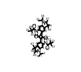 CC(C)N1c2cc(NC(=O)C(C)(C)C)c(C3=C([O-])/C(=c4\cc5c(cc4NC(=O)C(C)(C)C)=[N+](C(C)C)C(C)C5(C)C)C3=O)cc2C(C)(C)C1C